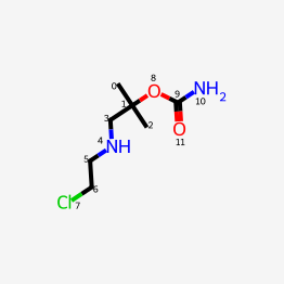 CC(C)(CNCCCl)OC(N)=O